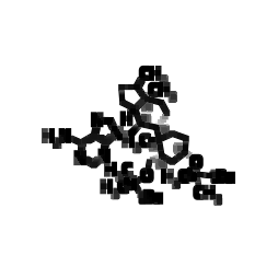 C=C1CC[C@H]2[C@H](Cn3cnc4c(N)ncnc43)[C@@H]([C@]3(C)CC[C@H](O[Si](C)(C)C(C)(C)C)C[C@@H]3CO[Si](C)(C)C(C)(C)C)CC[C@]12C